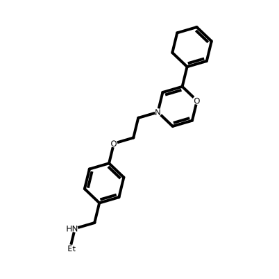 CCNCc1ccc(OCCN2C=COC(C3=CC=CCC3)=C2)cc1